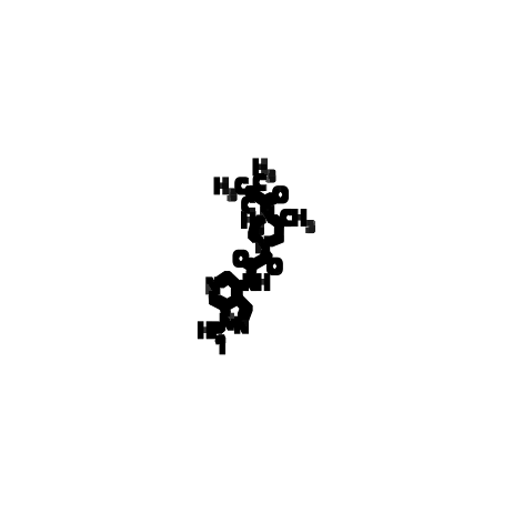 CC1CN(C(=O)C(=O)Nc2cncc3c2cnn3PI)CCN1C(=O)C(C)(C)C